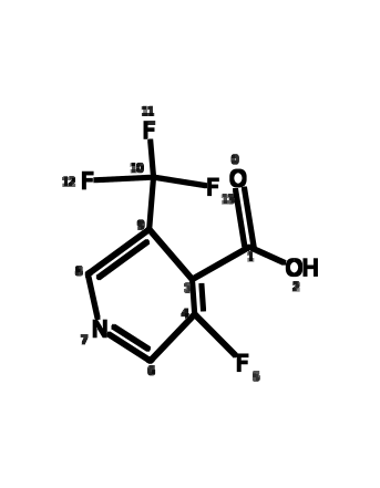 O=C(O)c1c(F)cncc1C(F)(F)F